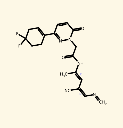 C=N/C=C(C#N)\C=C(/C)NC(=O)Cn1nc(C2=CCC(F)(F)CC2)ccc1=O